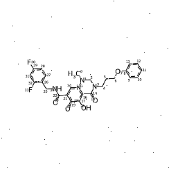 CN1CN(CCCOc2ccccc2)C(=O)c2c(O)c(=O)c(C(=O)NCc3ccc(F)cc3F)cn21